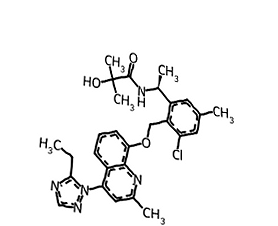 CCc1ncnn1-c1cc(C)nc2c(OCc3c(Cl)cc(C)cc3[C@H](C)NC(=O)C(C)(C)O)cccc12